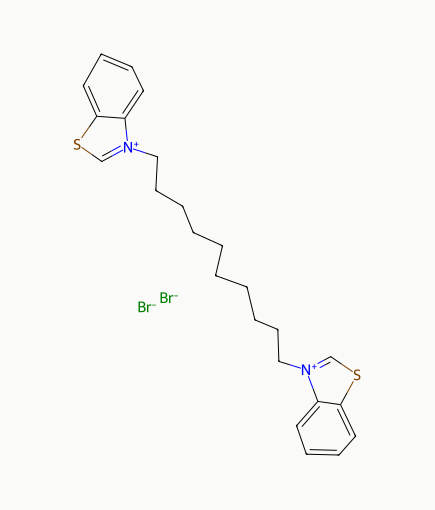 [Br-].[Br-].c1ccc2c(c1)sc[n+]2CCCCCCCCCC[n+]1csc2ccccc21